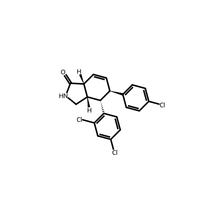 O=C1NC[C@H]2[C@@H](c3ccc(Cl)cc3Cl)[C@H](c3ccc(Cl)cc3)C=C[C@@H]12